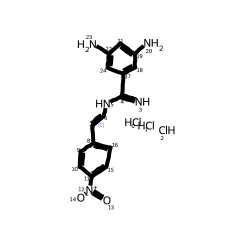 Cl.Cl.Cl.N=C(N/C=C/c1ccc([N+](=O)[O-])cc1)c1cc(N)cc(N)c1